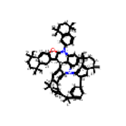 Cc1cc2c3c(c1)N(c1ccc4c(c1)C(C)(C)CCC4(C)C)c1oc4cc5c(cc4c1B3c1cc3c4cc1N2c1cc2c(cc1-c1ccc(cc1)C(C)(C)C(CC3(C)C)C4(C)C)C(C)(C)CCC2(C)C)C(C)(C)CCC5(C)C